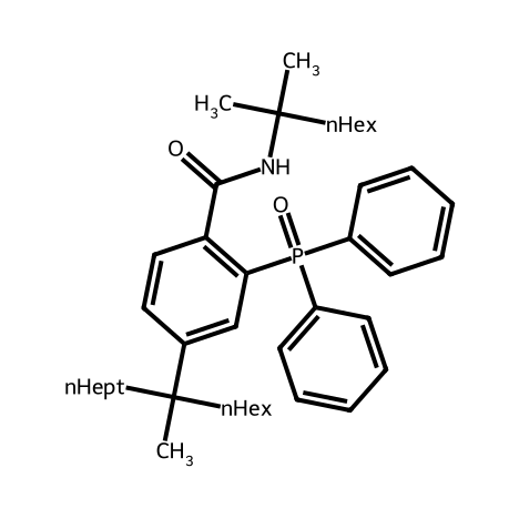 CCCCCCCC(C)(CCCCCC)c1ccc(C(=O)NC(C)(C)CCCCCC)c(P(=O)(c2ccccc2)c2ccccc2)c1